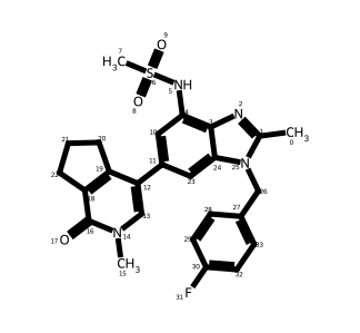 Cc1nc2c(NS(C)(=O)=O)cc(-c3cn(C)c(=O)c4c3CCC4)cc2n1Cc1ccc(F)cc1